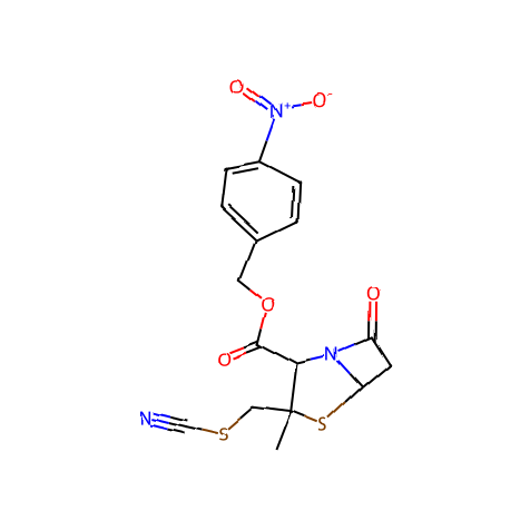 CC1(CSC#N)SC2CC(=O)N2C1C(=O)OCc1ccc([N+](=O)[O-])cc1